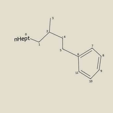 CCCCCCCCC(C)[CH]Cc1ccccc1